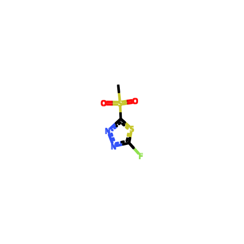 CS(=O)(=O)c1nnc(F)s1